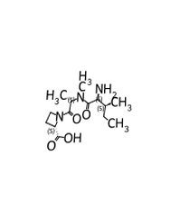 CC[C@H](C)[C@H](N)C(=O)N(C)[C@@H](C)C(=O)N1CC[C@H]1C(=O)O